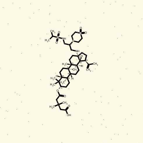 C=C(C)[C@@H]1CC[C@]2(NCC(CNS(=O)(=O)C(C)C)N3CCS(=O)(=O)CC3)CC[C@]3(C)[C@H](CC[C@@H]4[C@@]5(C)CC[C@H](OC(=O)CC(C)(C)CC(=O)O)C(C)(C)[C@@H]5CC[C@]43C)[C@@H]12